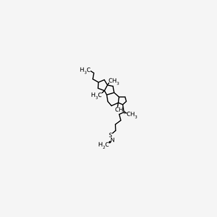 C=NSCCCCC(C)C1CCC2C3CC4(C)CC(CCC)CC4(C)C3CCC12C